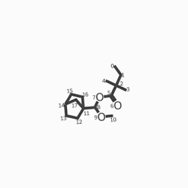 CCC(C)(C)C(=O)OC(OC)C12CCC(CC1)C2